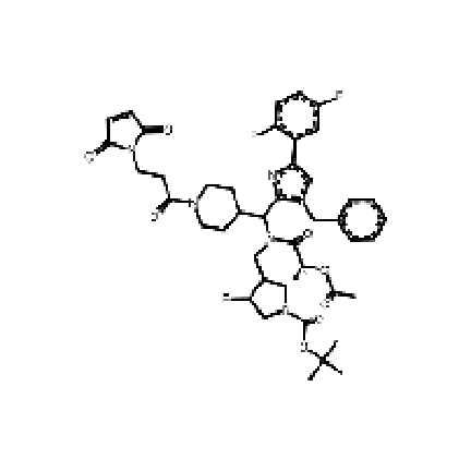 CC(=O)O[C@@H](C)C(=O)N(CC1CN(C(=O)OC(C)(C)C)CC1F)C(c1nc(-c2cc(F)ccc2F)cn1Cc1ccccc1)C1CCN(C(=O)CCN2C(=O)C=CC2=O)CC1